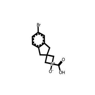 O=C(O)[N+]1([O-])CC2(Cc3ccc(Br)cc3C2)C1